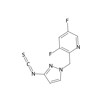 Fc1cnc(Cn2ccc(N=C=S)n2)c(F)c1